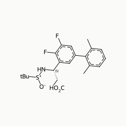 Cc1cccc(C)c1-c1cc(F)c(F)c([C@H](CC(=O)O)N[S+]([O-])C(C)(C)C)c1